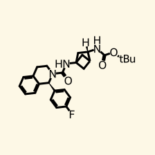 CC(C)(C)OC(=O)N[C@H]1CC2(NC(=O)N3CCc4ccccc4[C@@H]3c3ccc(F)cc3)CC1C2